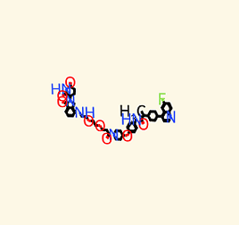 CC(C(=O)Nc1ccc(OC2CCN(C(=O)CCOCCOCCNc3cccc4c3CN(C3CCC(=O)NC3=O)C4=O)CC2)cc1)C1CCC(c2ccnc3ccc(F)cc23)CC1